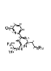 CC[C@H](C)CCc1nc(N[C@H](CC)C(F)(F)F)nc(-c2cccc(Cl)n2)n1